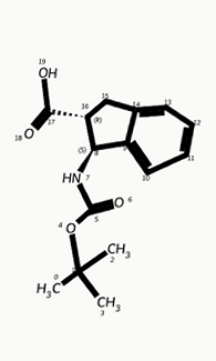 CC(C)(C)OC(=O)N[C@@H]1c2ccccc2C[C@H]1C(=O)O